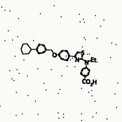 CCN(c1ccc(C(=O)O)cc1)c1nc(-c2ccc(OCc3ccc(C4CCCCC4)cc3)cc2)cs1